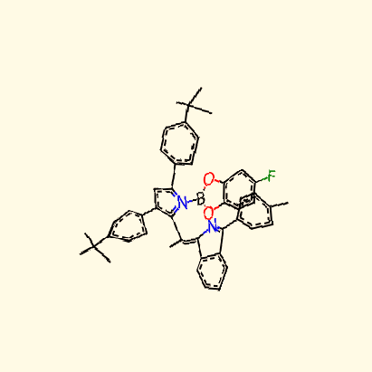 C/C(=C1/N=C(c2ccc(C)cc2)c2ccccc21)c1c(-c2ccc(C(C)(C)C)cc2)cc(-c2ccc(C(C)(C)C)cc2)n1B1Oc2ccc(F)cc2O1